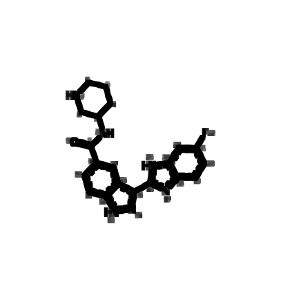 O=C(NC1CCCNC1)c1ccc2[nH]nc(-c3nc4ccc(F)cc4[nH]3)c2c1